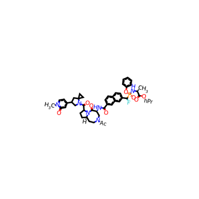 CCCOC(=O)[C@H](C)NP(=O)(Oc1ccccc1)C(F)c1ccc2ccc(C(=O)N[C@H]3CN(C(C)=O)CC[C@H]4CCC(C(=O)N5CC(c6ccn(C)c(=O)c6)CC56CC6)N4C3=O)cc2c1